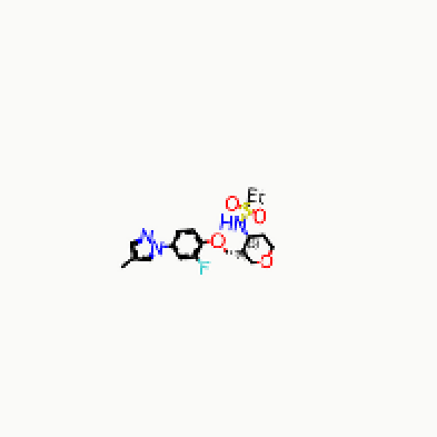 CCS(=O)(=O)N[C@H]1CCOC[C@@H]1COc1ccc(-n2cc(C)cn2)cc1F